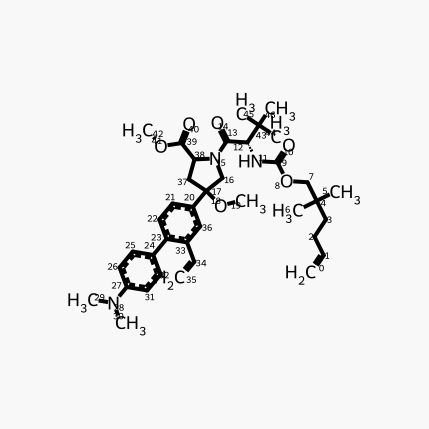 C=CCCC(C)(C)COC(=O)N[C@H](C(=O)N1CC(OC)(c2ccc(-c3ccc(N(C)C)cc3)c(C=C)c2)CC1C(=O)OC)C(C)(C)C